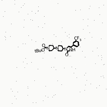 CC(C)(C)OC(=O)N1CCC(N2CCC(n3cc(-c4cccc(C(F)(F)F)c4)[nH]c3=O)CC2)CC1